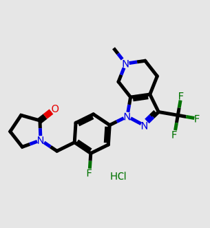 CN1CCc2c(C(F)(F)F)nn(-c3ccc(CN4CCCC4=O)c(F)c3)c2C1.Cl